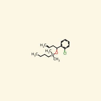 C=CCC(O[Si](C)(C)CCCC)c1ccccc1Cl